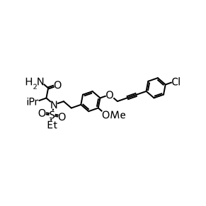 CCS(=O)(=O)N(CCc1ccc(OCC#Cc2ccc(Cl)cc2)c(OC)c1)C(C(N)=O)C(C)C